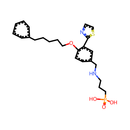 O=P(O)(O)CCCNCc1ccc(OCCCCCc2ccccc2)c(-c2nccs2)c1